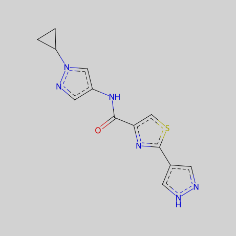 O=C(Nc1cnn(C2CC2)c1)c1csc(-c2cn[nH]c2)n1